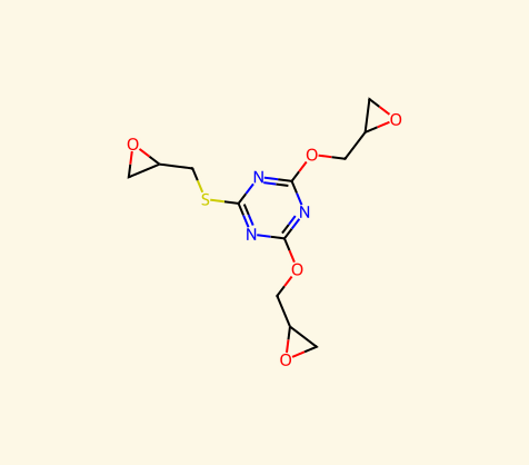 C(Oc1nc(OCC2CO2)nc(SCC2CO2)n1)C1CO1